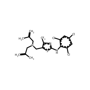 C=C(C)CN(CC(=C)C)Cc1sc(Nc2c(Cl)cc(Cl)cc2Cl)nc1C(F)(F)F